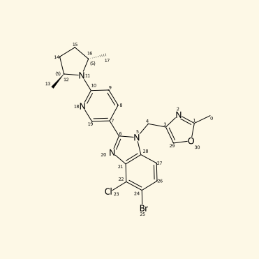 Cc1nc(Cn2c(-c3ccc(N4[C@@H](C)CC[C@@H]4C)nc3)nc3c(Cl)c(Br)ccc32)co1